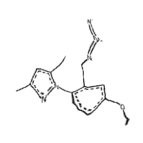 COc1ccc(-n2nc(C)cc2C)c(CN=[N+]=[N-])c1